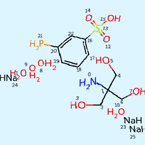 NC(CO)(CO)CO.O.O.O.O.O=S(=O)(O)c1cccc(P)c1.[NaH].[NaH].[NaH]